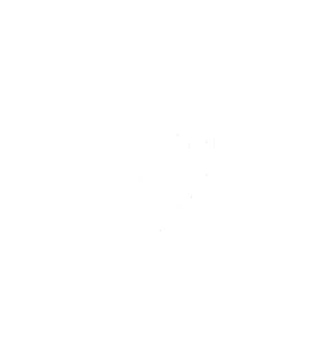 O=C(O)C(O)=CC(=O)c1sccc1S(=O)(=O)c1ccccc1